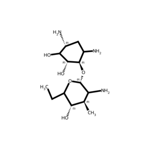 CCC1O[C@H](O[C@@H]2C(N)C[C@@H](N)C(O)[C@H]2O)C(N)[C@@H](C)[C@@H]1O